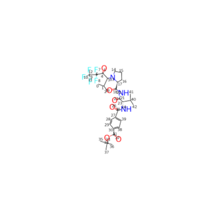 CC(C)C(C(=O)C(F)(F)C(F)(F)F)N1CCC[C@H]1C(=O)NC(=O)[C@@H](NC(=O)c1ccc(C(=O)OC(C)(C)C)cc1)C(C)C